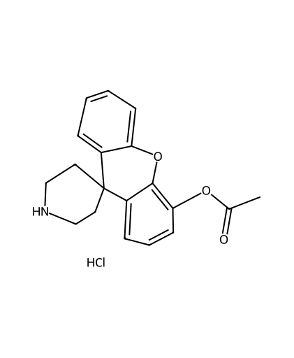 CC(=O)Oc1cccc2c1Oc1ccccc1C21CCNCC1.Cl